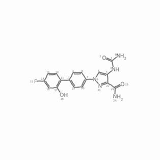 NC(=O)Nc1cn(-c2ccc(-c3ccc(F)cc3O)cc2)nc1C(N)=O